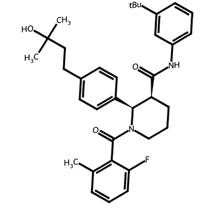 Cc1cccc(F)c1C(=O)N1CCC[C@H](C(=O)Nc2cccc(C(C)(C)C)c2)[C@@H]1c1ccc(CCC(C)(C)O)cc1